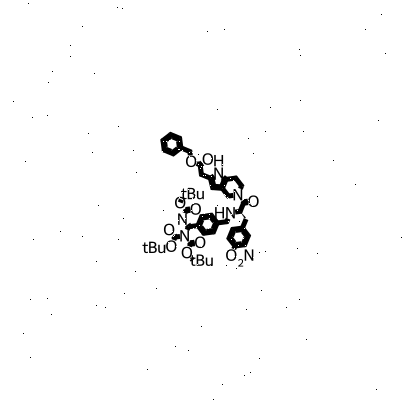 CC(C)(C)OC(=O)N=C(c1ccc(CN[C@@H](Cc2ccc([N+](=O)[O-])cc2)C(=O)N2CCc3[nH]c(CC(=O)OCc4ccccc4)cc3C2)cc1)N(C(=O)OC(C)(C)C)C(=O)OC(C)(C)C